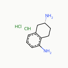 Cl.Cl.Nc1cccc2c1CC[C@@H](N)C2